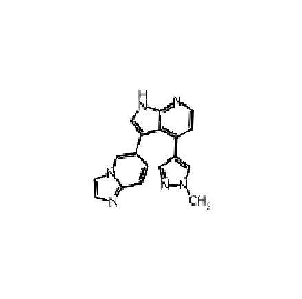 Cn1cc(-c2ccnc3[nH]cc(-c4ccc5nccn5c4)c23)cn1